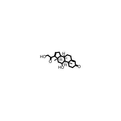 C[C@]12CCC(=O)C=C1CC[C@@H]1[C@@H]2[C@@H](O)C[C@]2(C)C(C(=O)CO)=CC[C@@H]12